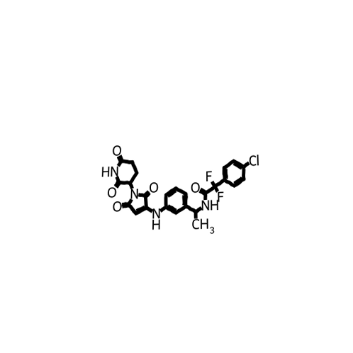 CC(NC(=O)C(F)(F)c1ccc(Cl)cc1)c1cccc(NC2=CC(=O)N(C3CCC(=O)NC3=O)C2=O)c1